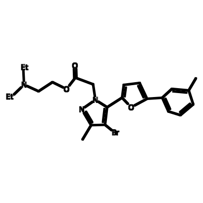 CCN(CC)CCOC(=O)Cn1nc(C)c(Br)c1-c1ccc(-c2cccc(C)c2)o1